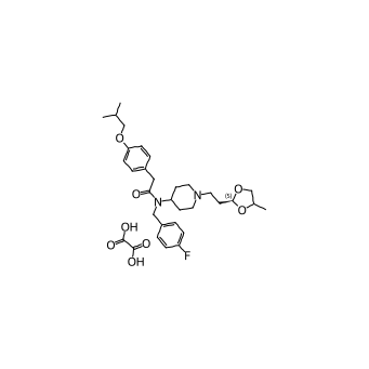 CC(C)COc1ccc(CC(=O)N(Cc2ccc(F)cc2)C2CCN(CC[C@H]3OCC(C)O3)CC2)cc1.O=C(O)C(=O)O